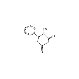 N#CC1C(=O)CC(=O)CC1c1ccccc1